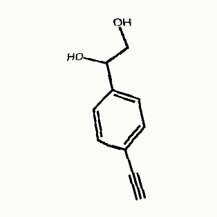 C#Cc1ccc(C(O)CO)cc1